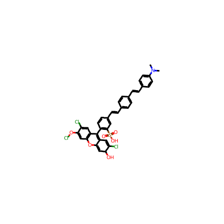 CN(C)c1ccc(/C=C/c2ccc(/C=C/c3ccc(C4=C5C=C(Cl)C(O)C=C5Oc5cc(OCl)c(Cl)cc54)c(S(=O)(=O)O)c3)cc2)cc1